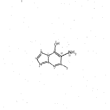 Cc1nc2ncnn2c(O)c1N